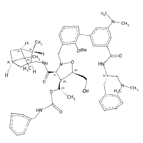 COc1c(CN2O[C@@H](CO)[C@@H]([C@H](C)OC(=O)NCc3ccccc3)[C@H]2C(=O)N[C@H]2C[C@H]3C[C@@H]([C@@H]2C)C3(C)C)cccc1-c1cc(C(=O)N[C@@H](Cc2ccccc2)CN(C)C)cc(N(C)C)c1